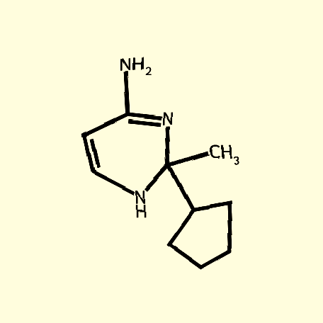 CC1(C2CCCC2)N=C(N)C=CN1